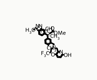 COC(=O)C(C)(C)[C@@H](c1ccc(C)c(CN2Cc3nc(O)ccc3O[C@@H](C(F)(F)F)C2)c1)c1ccc2c(nnn2C)c1C